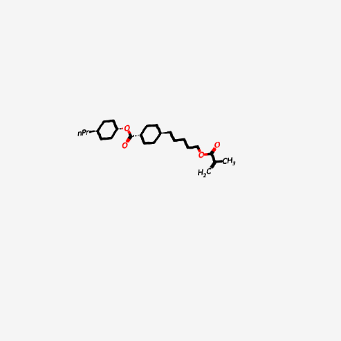 C=C(C)C(=O)OCCCCC[C@H]1CC[C@H](C(=O)O[C@H]2CC[C@H](CCC)CC2)CC1